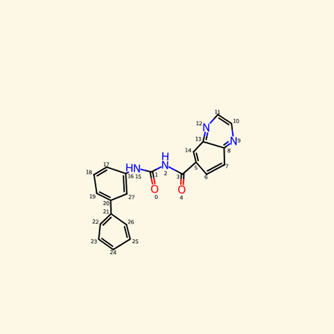 O=C(NC(=O)c1ccc2nccnc2c1)Nc1cccc(-c2ccccc2)c1